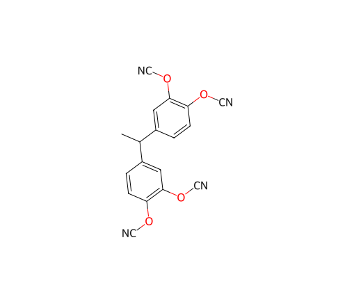 CC(c1ccc(OC#N)c(OC#N)c1)c1ccc(OC#N)c(OC#N)c1